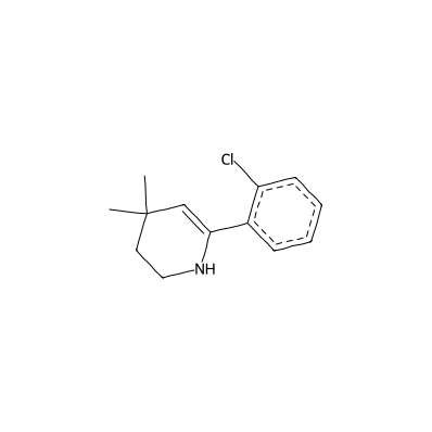 CC1(C)C=C(c2ccccc2Cl)NCC1